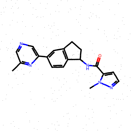 Cc1cncc(-c2ccc3c(c2)CCC3NC(=O)c2ccnn2C)n1